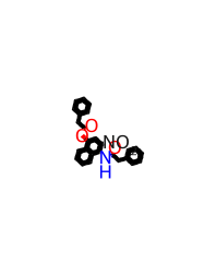 O=C(Cc1ccccc1)Nc1c([N+](=O)[O-])cc(OC(=O)Cc2ccccc2)c2ccccc12